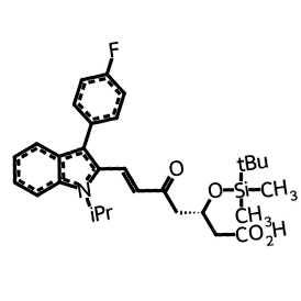 CC(C)n1c(C=CC(=O)C[C@@H](CC(=O)O)O[Si](C)(C)C(C)(C)C)c(-c2ccc(F)cc2)c2ccccc21